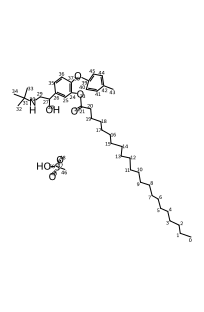 CCCCCCCCCCCCCCCCCCCCCC(=O)Oc1cc(C(O)CNC(C)(C)C)ccc1Oc1ccc(C)cc1.CS(=O)(=O)O